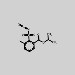 CC(C)OC(=O)c1cccc(F)c1S(=O)(=O)N=C=O